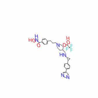 O=C(NO)c1ccc(CCCN2CCC(CNC3CC3c3ccc(-c4cncnc4)cc3)CC2)cc1.O=C(O)C(F)(F)F